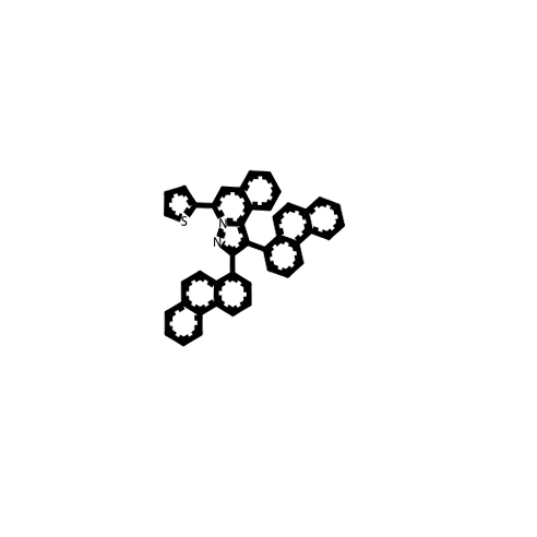 c1csc(-c2cc3ccccc3c3c(-c4cccc5c4ccc4ccccc45)c(-c4cccc5c4ccc4ccccc45)nn23)c1